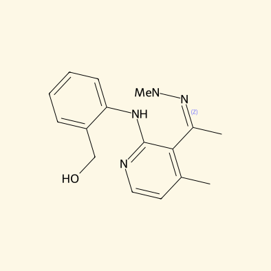 CN/N=C(/C)c1c(C)ccnc1Nc1ccccc1CO